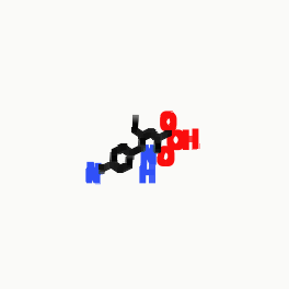 CCc1cc(C(=O)O)c(=O)[nH]c1-c1ccc(C#N)cc1